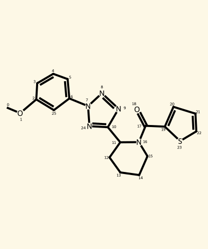 COc1cccc(-n2nnc(C3CCCCN3C(=O)c3cccs3)n2)c1